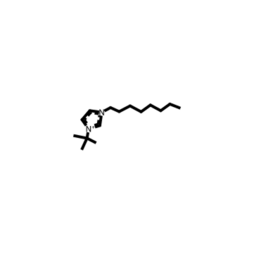 CCCCCCCCn1cc[n+](C(C)(C)C)c1